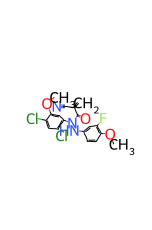 C=C(C#N)C(=O)N(Nc1ccc(OC)c(F)c1)c1cc(OC)c(Cl)cc1Cl